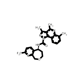 Cc1cccc2c1nc(C)c1c(C)nn(C(=O)N[C@H]3CCOCc4nc(C(F)(F)F)ccc43)c12